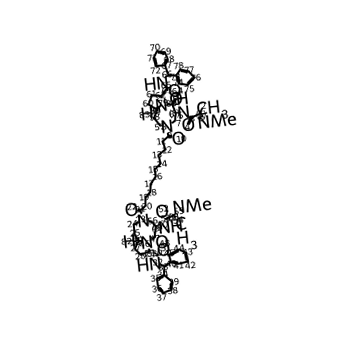 CN[C@@H](C)C(=O)N[C@H]1CN(C(=O)CCCCCCCCCCC(=O)N2CC[C@H]3CC[C@@H](C(=O)NC(c4ccccc4)c4ccccc4)N3C(=O)[C@@H](NC(=O)[C@H](C)NC)C2)CC[C@H]2CCC(C(=O)NC(c3ccccc3)c3ccccc3)N2C1=O